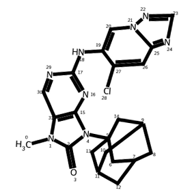 Cn1c(=O)n(C23CC4CC(CC(C4)C2)C3)c2nc(Nc3cn4ncnc4cc3Cl)ncc21